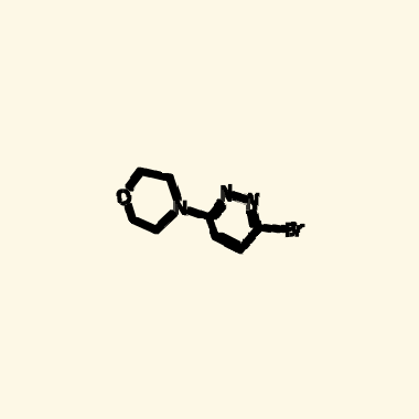 Brc1ccc(N2CCOCC2)nn1